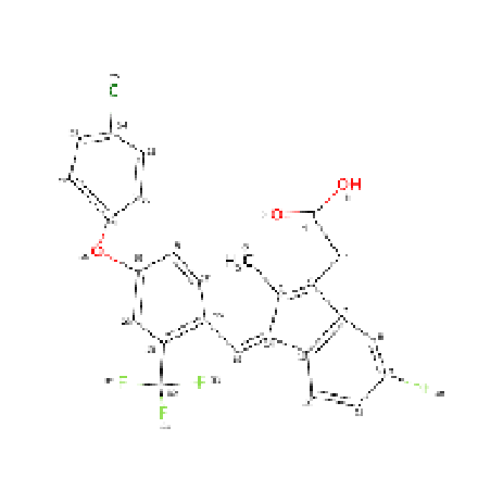 CC1=C(CC(=O)O)c2cc(F)ccc2C1=Cc1ccc(Oc2ccc(Cl)cc2)cc1C(F)(F)F